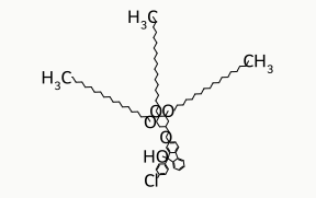 CCCCCCCCCCCCCCCCCCOC1CC(COc2ccc3c(c2)C(O)(c2ccc(Cl)cc2)c2ccccc2-3)CC(OCCCCCCCCCCCCCCCCCC)C1OCCCCCCCCCCCCCCCCCC